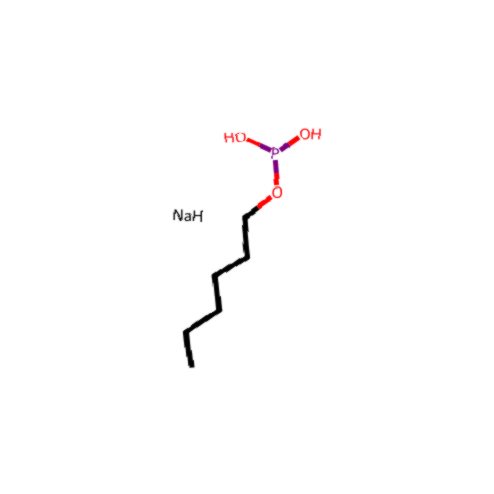 CCCCCCOP(O)O.[NaH]